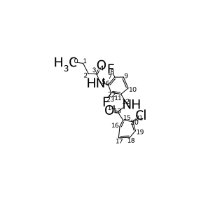 CCCC(=O)Nc1c(F)ccc(NC(=O)c2ccccc2Cl)c1F